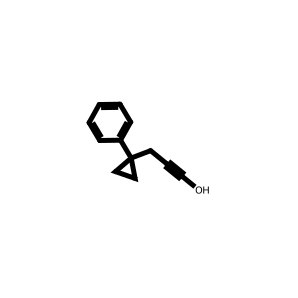 OC#CCC1(c2ccccc2)CC1